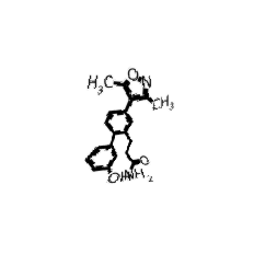 Cc1noc(C)c1-c1ccc(-c2cccc(O)c2)c(CCC(N)=O)c1